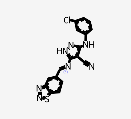 N#Cc1c(Nc2cccc(Cl)c2)n[nH]c1/N=C/c1ccc2snnc2c1